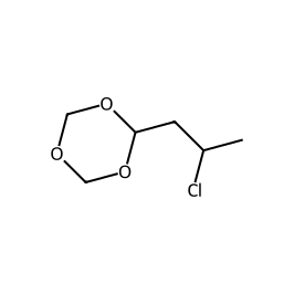 CC(Cl)CC1OCOCO1